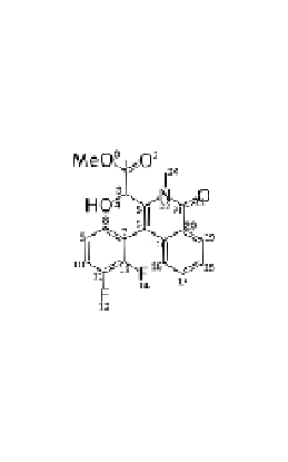 COC(=O)C(O)c1c(-c2cccc(F)c2F)c2ccccc2c(=O)n1C